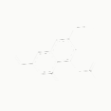 C=Cc1cc2cc(OC)cc(OC(C)=O)c2c(=O)o1